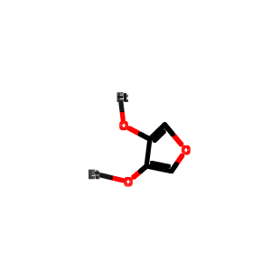 CCOc1cocc1OCC